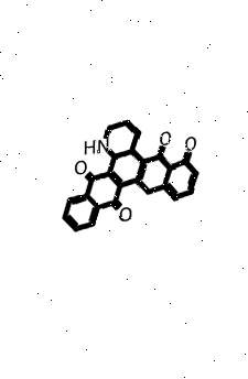 O=C1C2=C(C(=O)c3ccccc31)C1NCCCC1C1=C2CC2=CC=CC(=O)C2C1=O